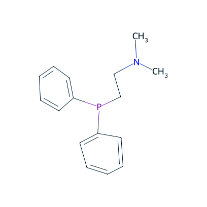 CN(C)CCP(c1ccccc1)c1ccccc1